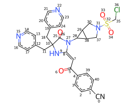 N#Cc1ccc(C(=O)C=C2NC(Cc3ccncc3)(Cc3ccncc3)C(=O)N2C2C3CN(S(=O)(=O)CCl)CC32)cc1